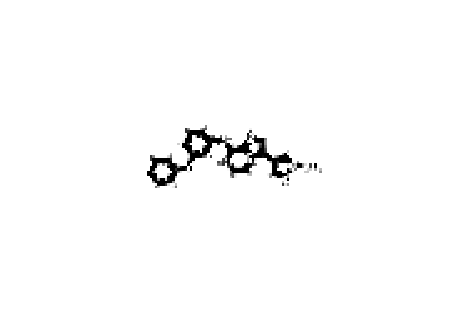 Cn1cc(-c2cnc3c(Nc4cccc(Oc5ccccc5)c4)nccn23)cn1